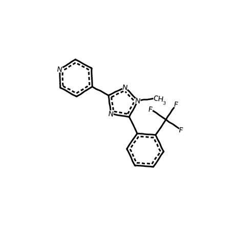 Cn1nc(-c2ccncc2)nc1-c1ccccc1C(F)(F)F